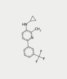 Cc1nc(-c2cccc(C(F)(F)F)c2)ccc1NC1CC1